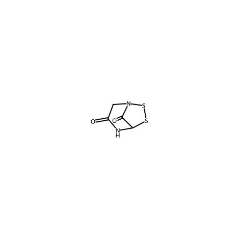 O=C1CN2SSC(N1)C2=O